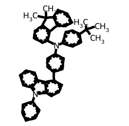 CC(C)(C)c1ccc(N(c2ccc(-c3cccc4c3c3ccccc3n4-c3ccccc3)cc2)c2cccc3c2-c2ccccc2C3(C)C)cc1